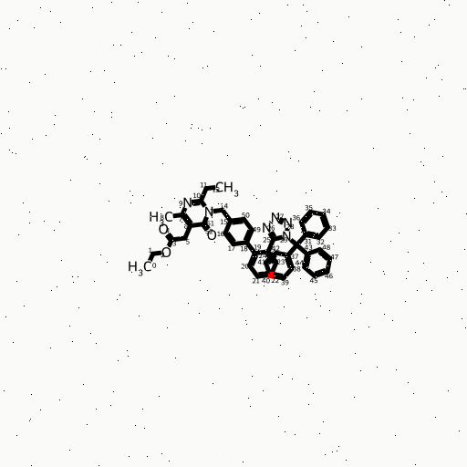 CCOC(=O)Cc1c(C)nc(CC)n(Cc2ccc(-c3ccccc3-c3nnnn3C(c3ccccc3)(c3ccccc3)c3ccccc3)cc2)c1=O